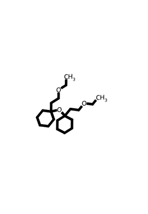 CCOCCC1(OC2(CCOCC)CCCCC2)CCCCC1